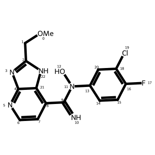 COCc1nc2nccc(C(=N)N(O)c3ccc(F)c(Cl)c3)c2[nH]1